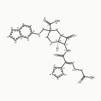 O=C(O)CON=C(C(=O)NC1C(=O)N2CC(CSc3ccc4nnnn4n3)(C(=O)O)CS[C@H]12)c1ncsn1